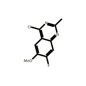 COc1cc2c(Cl)nc(C)nc2cc1F